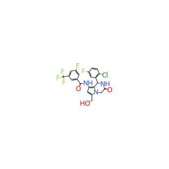 O=C1Cn2c(CO)cc(NC(=O)c3cc(F)cc(C(F)(F)F)c3)c2C(c2cc(F)ccc2Cl)N1